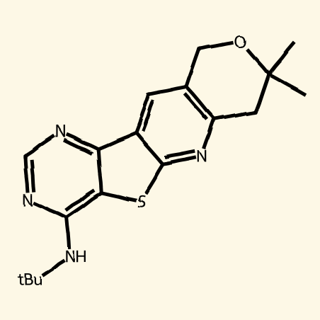 CC(C)(C)Nc1ncnc2c1sc1nc3c(cc12)COC(C)(C)C3